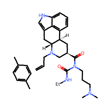 C=CCN1C[C@H](C(=O)N(CCCN(C)C)C(=O)NCC)C[C@@H]2c3cccc4[nH]cc(c34)C[C@H]21.Cc1ccc(C)cc1